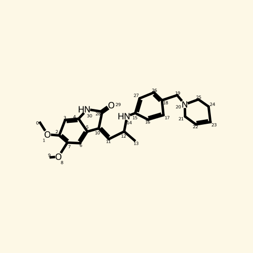 COc1cc2c(cc1OC)C(=CC(C)Nc1ccc(CN3CC=CCC3)cc1)C(=O)N2